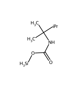 CC(C)C(C)(C)NC(=O)O[SiH3]